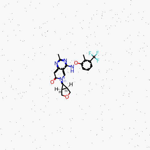 Cc1nc(NOc2cccc(C(F)(F)F)c2C)c2c(n1)=CC(=O)/[N+](=C1/[C@H]3COC[C@@H]13)C=2